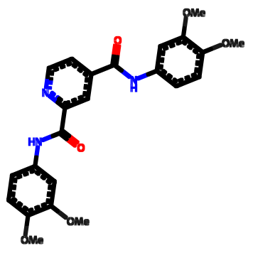 COc1ccc(NC(=O)c2ccnc(C(=O)Nc3ccc(OC)c(OC)c3)c2)cc1OC